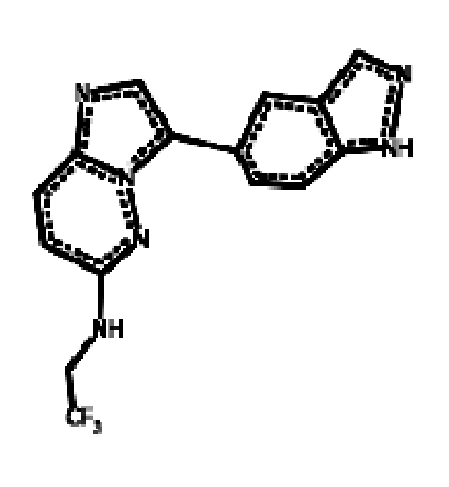 FC(F)(F)CNc1ccc2ncc(-c3ccc4[nH]ncc4c3)n2n1